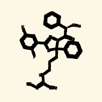 CN/C(=N/C#N)NCCCC1(c2ccccc2)SC(c2cc(F)ccc2F)=NN1C(=O)[C@@H](OC)c1ccccc1